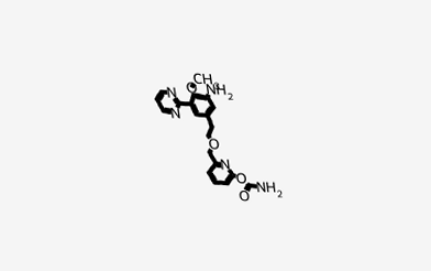 COc1c(N)cc(CCOCc2cccc(OC(N)=O)n2)cc1-c1ncccn1